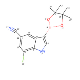 CC1(C)OB(c2c[nH]c3c(F)cc(C#N)cc23)OC1(C)C